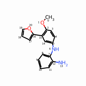 COc1ccc(Nc2ccccc2N)cc1-c1ccco1